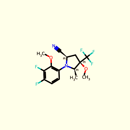 COc1c(N2[C@@H](C#N)C[C@](OC)(C(F)(F)F)[C@H]2C)ccc(F)c1F